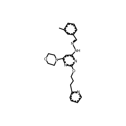 Cc1cccc(C=NNc2cc(N3CCOCC3)nc(OCCCc3ccccn3)n2)c1